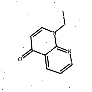 CCn1ccc(=O)c2cccnc21